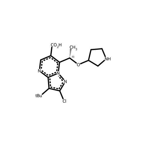 C[C@H](OC1CCNC1)c1c(C(=O)O)cnc2c(C(C)(C)C)c(Cl)nn12